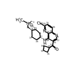 CN(C)C[C@H]1CC[C@H](Nc2c(C(=O)C3CCC3)cnc3ccc(Cl)nc23)CC1